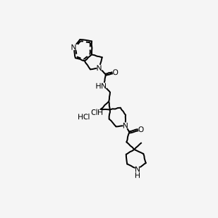 CC1(CC(=O)N2CCC3(CC2)CC3CNC(=O)N2Cc3ccncc3C2)CCNCC1.Cl.Cl